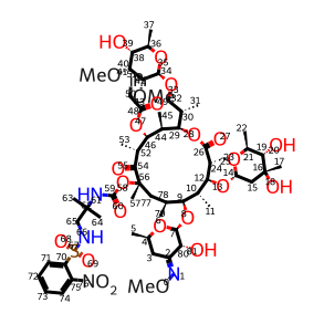 CON=C1C[C@@H](C)O[C@@H](O[C@@H]2[C@@H](C)[C@H](O[C@H]3C[C@@](C)(O)[C@@H](O)[C@H](C)O3)[C@@H](C)C(=O)O[C@H]([C@@H](C)CO[C@@H]3O[C@H](C)[C@@H](O)[C@@H](OC)[C@H]3OC)[C@H](C)[C@@H](OC(=O)CC(C)C)[C@@H](C)C(=O)[C@@](C)(OC(=O)NC(C)(C)CNS(=O)(=O)c3ccccc3[N+](=O)[O-])C[C@@H]2C)[C@@H]1O